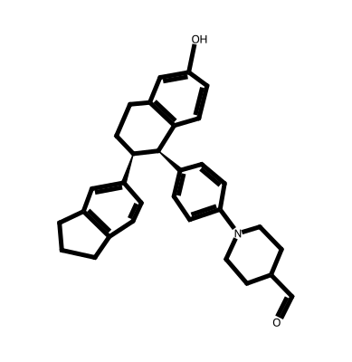 O=CC1CCN(c2ccc([C@@H]3c4ccc(O)cc4CC[C@@H]3c3ccc4c(c3)CCC4)cc2)CC1